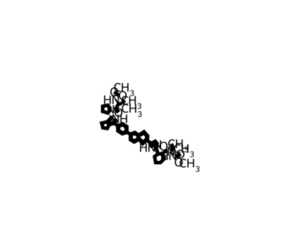 COC(=O)N[C@H](C(=O)N1CCC[C@H]1c1[nH]c(-c2ccc(-c3ccc4cc(-c5cnc(C6CCCCC6C(=O)N(NC(=O)OC)C(C)C)[nH]5)ccc4c3)cc2)c2c1CCC2)C(C)C